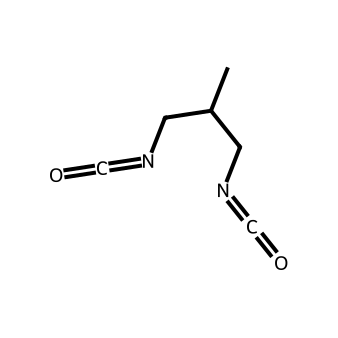 CC(CN=C=O)CN=C=O